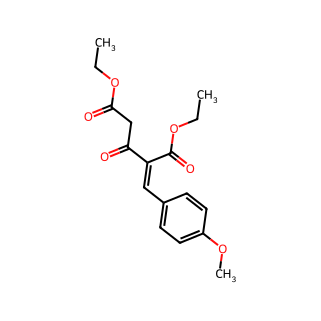 CCOC(=O)CC(=O)C(=Cc1ccc(OC)cc1)C(=O)OCC